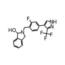 OC1c2ccccc2CN1Cc1ccc(-c2c[nH]nc2C(F)(F)F)cc1F